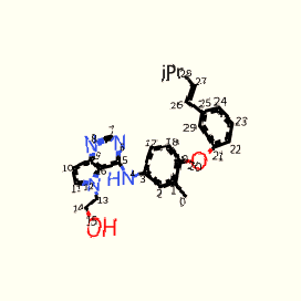 Cc1cc(Nc2ncnc3ccn(CCO)c23)ccc1Oc1cccc(C=CC(C)C)c1